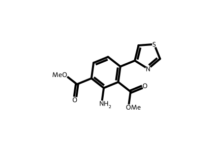 COC(=O)c1ccc(-c2cscn2)c(C(=O)OC)c1N